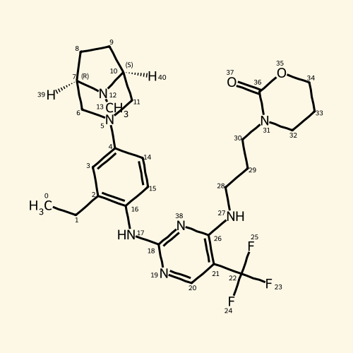 CCc1cc(N2C[C@H]3CC[C@@H](C2)N3C)ccc1Nc1ncc(C(F)(F)F)c(NCCCN2CCCOC2=O)n1